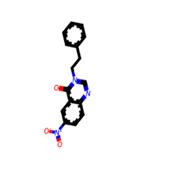 O=c1c2cc([N+](=O)[O-])ccc2ncn1CCc1ccccc1